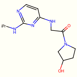 CC(C)Nc1nccc(NCC(=O)N2CCC(O)C2)n1